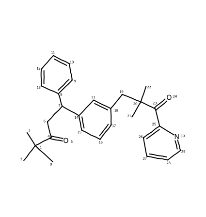 CC(C)(C)C(=O)CC(c1ccccc1)c1cccc(CC(C)(C)C(=O)c2ccccn2)c1